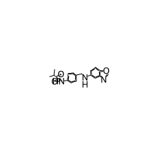 CC(C)S(=O)(=O)Nc1ccc(CNc2ccc3ocnc3c2)cc1